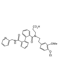 CCOc1ccc(CCN(CCC(=O)O)C(=O)c2ccccc2-c2ccccc2C(=O)NCc2ccccn2)cc1OC